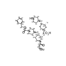 C[C@@H]1CN(C(=O)O)CC[C@@H]1CN1CCNCC1.C[C@@H]1CN(C(=O)OC(C)(C)C)CC[C@@H]1CN1CCN(C(=O)OCc2ccccc2)CC1